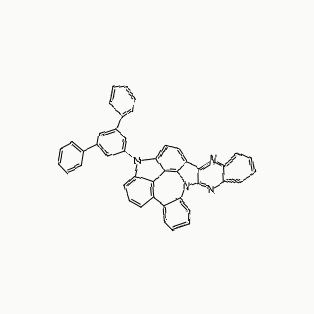 c1ccc(-c2cc(-c3ccccc3)cc(-n3c4cccc5c6ccccc6n6c7nc8ccccc8nc7c7ccc3c(c54)c76)c2)cc1